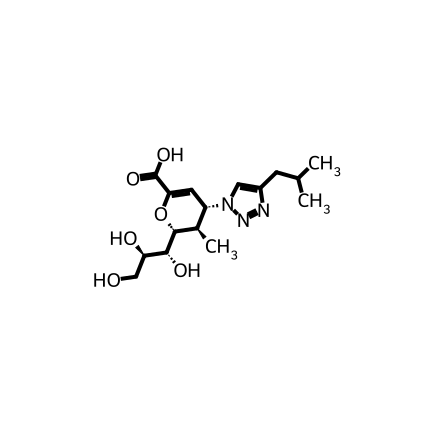 CC(C)Cc1cn([C@H]2C=C(C(=O)O)O[C@@H]([C@H](O)[C@H](O)CO)[C@@H]2C)nn1